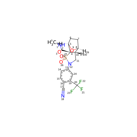 CNC(=O)[C@@]12[C@H]3CC[C@H](O3)[C@@H]1CN(c1ccc(C#N)c(C(F)(F)F)c1)S2(=O)=O